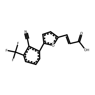 N#Cc1c(-c2ccc(C=CC(=O)O)o2)cccc1C(F)(F)F